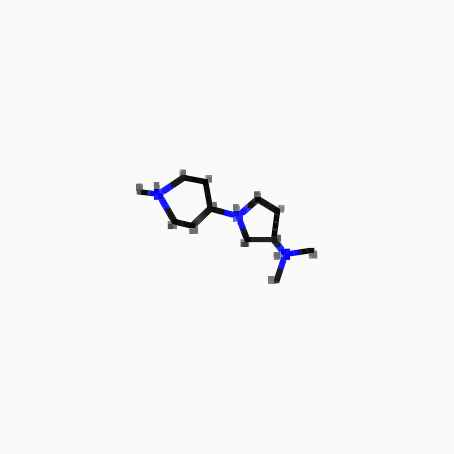 CN1CCC(N2CCC(N(C)C)C2)CC1